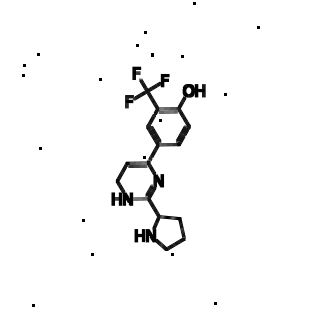 Oc1ccc(C2=CCNC(C3CCCN3)=N2)cc1C(F)(F)F